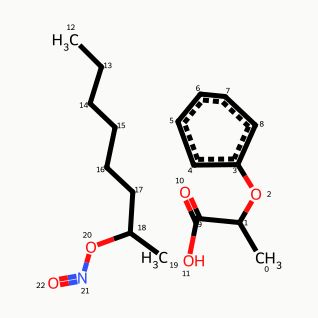 CC(Oc1ccccc1)C(=O)O.CCCCCCC(C)ON=O